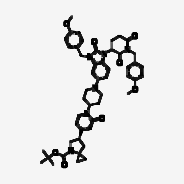 COc1ccc(CN2C(=O)CCC(n3c(=O)n(Cc4ccc(OC)cc4)c4cc(N5CCC(n6ccc([C@@H]7CN(C(=O)OC(C)(C)C)C8(CC8)C7)cc6=O)CC5)ccc43)C2=O)cc1